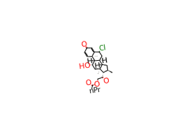 CCCC(=O)OCC(=O)[C@H]1[C@H](C)C[C@H]2[C@@H]3C[C@H](Cl)C4=CC(=O)C=C[C@]4(C)[C@H]3[C@@H](O)C[C@@]21C